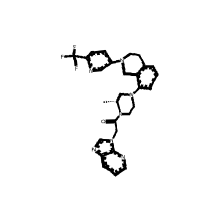 C[C@@H]1CN(c2cccc3c2CN(c2ccc(C(F)(F)F)nc2)CC3)CCN1C(=O)Cn1cnc2cccnc21